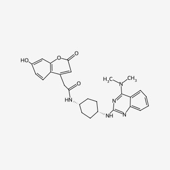 CN(C)c1nc(N[C@H]2CC[C@@H](NC(=O)Cc3cc(=O)oc4cc(O)ccc34)CC2)nc2ccccc12